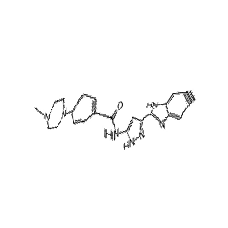 CN1CCN(c2ccc(C(=O)Nc3cc(-c4nc5cc#ccc5[nH]4)n[nH]3)cc2)CC1